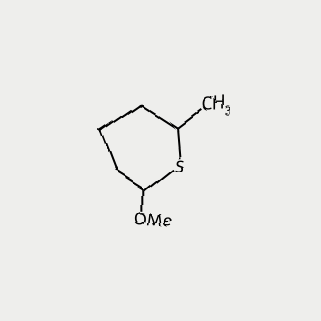 COC1CCCC(C)S1